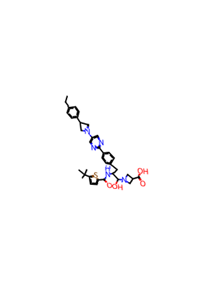 CCc1ccc(C2CN(c3cnc(-c4ccc(CC(NC(=O)c5ccc(C(C)(C)C)s5)C(O)N5CC(C(=O)O)C5)cc4)nc3)C2)cc1